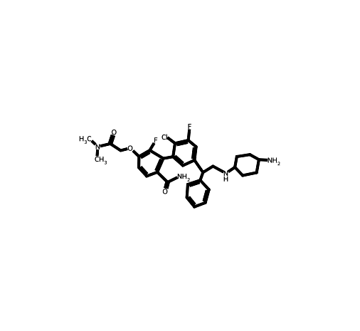 CN(C)C(=O)COc1ccc(C(N)=O)c(-c2cc(C(CNC3CCC(N)CC3)c3ccccc3)cc(F)c2Cl)c1F